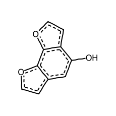 Oc1cc2ccoc2c2occc12